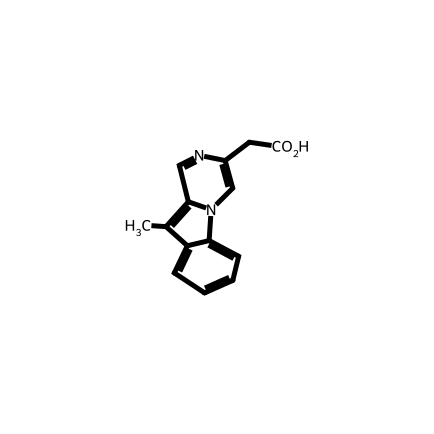 Cc1c2ccccc2n2cc(CC(=O)O)ncc12